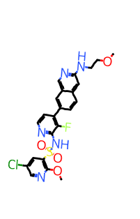 COCCNc1cc2ccc(-c3ccnc(NS(=O)(=O)c4cc(Cl)cnc4OC)c3F)cc2cn1